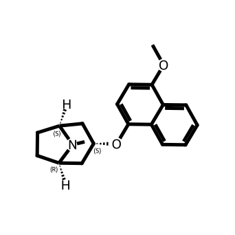 COc1ccc(O[C@@H]2C[C@H]3CC[C@@H](C2)N3C)c2ccccc12